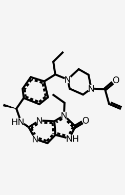 C=CC(=O)N1CCN(C(CC)c2ccc([C@H](C)Nc3ncc4[nH]c(=O)n(CC)c4n3)cc2)CC1